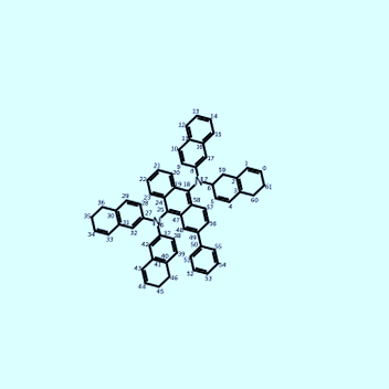 C1=CC2=C(C=CC(N(c3ccc4ccccc4c3)c3c4ccccc4c(N(c4ccc5c(c4)C=CCC5)c4ccc5c(c4)C=CCC5)c4cc(-c5ccccc5)ccc34)C2)CC1